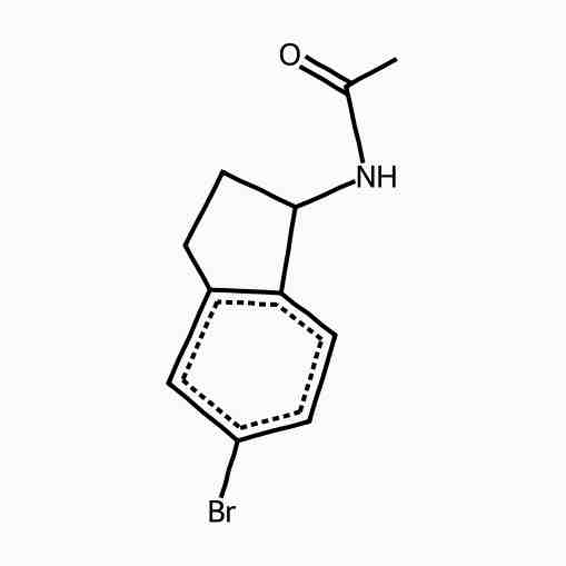 CC(=O)NC1CCc2cc(Br)ccc21